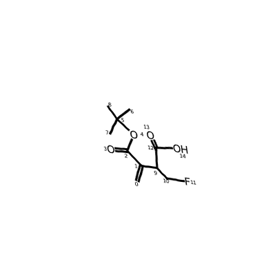 C=C(C(=O)OC(C)(C)C)C(CF)C(=O)O